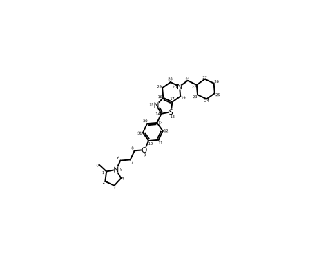 CC1CCCN1CCCOc1ccc(-c2nc3c(s2)CN(CC2CCCCC2)CC3)cc1